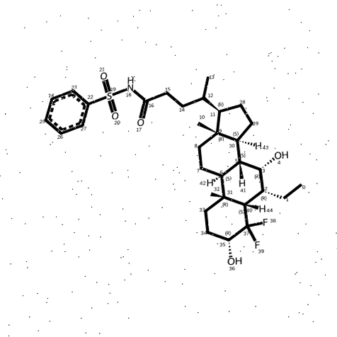 CC[C@H]1[C@@H](O)[C@@H]2[C@H](CC[C@]3(C)[C@@H](C(C)CCC(=O)NS(=O)(=O)c4ccccc4)CC[C@@H]23)[C@@]2(C)CC[C@@H](O)C(F)(F)[C@@H]12